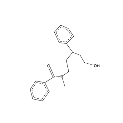 CN(CCC(CCO)c1ccccc1)C(=O)c1ccccc1